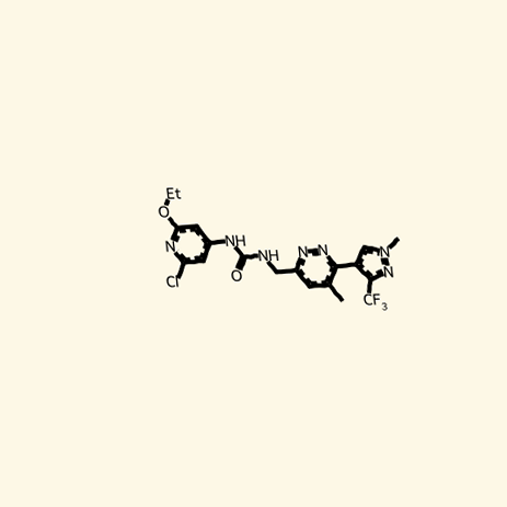 CCOc1cc(NC(=O)NCc2cc(C)c(-c3cn(C)nc3C(F)(F)F)nn2)cc(Cl)n1